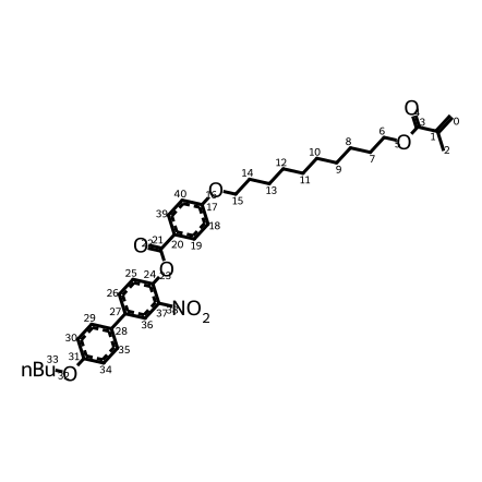 C=C(C)C(=O)OCCCCCCCCCCOc1ccc(C(=O)Oc2ccc(-c3ccc(OCCCC)cc3)cc2[N+](=O)[O-])cc1